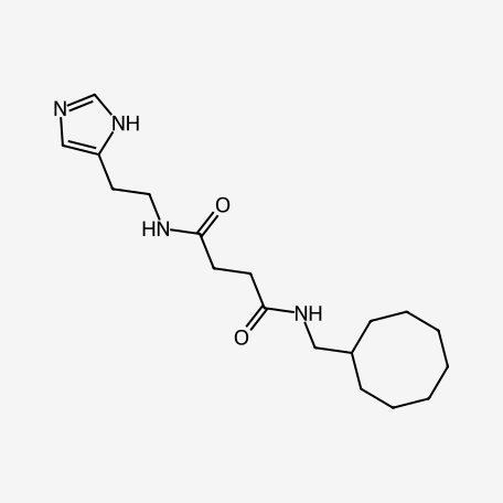 O=C(CCC(=O)NCC1CCCCCCC1)NCCc1cnc[nH]1